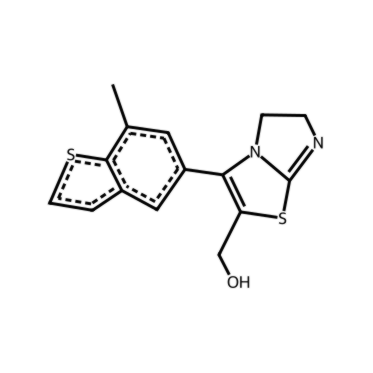 Cc1cc(C2=C(CO)SC3=NCCN32)cc2ccsc12